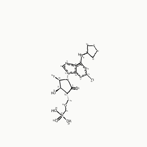 O=C1[C@@H](n2cnc3c(NC4CCCC4)nc(Cl)nc32)[C@H](F)[C@H](O)[C@H]1COCP(=O)(O)O